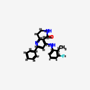 Cc1c(F)cccc1Nc1cc(-c2ccccc2)nc2c1C(=O)NCC2